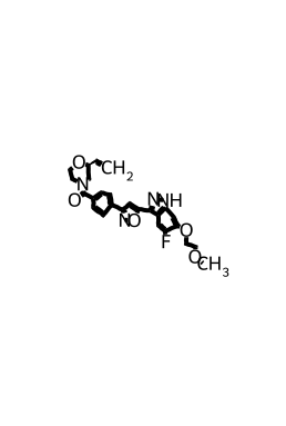 C=C[C@H]1CN(C(=O)c2ccc(-c3cc(-c4n[nH]c5cc(OCCOC)c(F)cc45)on3)cc2)CCO1